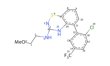 COCCNC1=NSc2cccc(-c3cc(C(F)(F)F)ccc3Cl)c2N1